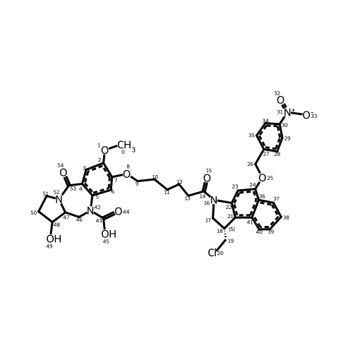 COc1cc2c(cc1OCCCCCC(=O)N1C[C@@H](CCl)c3c1cc(OCc1ccc([N+](=O)[O-])cc1)c1ccccc31)N(C(=O)O)CC1C(O)CCN1C2=O